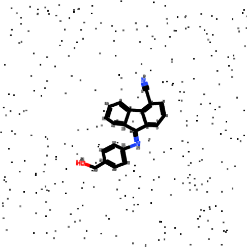 N#Cc1cccc2c1-c1ccccc1C2=Nc1ccc(CO)cc1